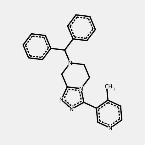 Cc1ccncc1-c1nnc2n1CCN(C(c1ccccc1)c1ccccc1)C2